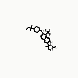 CCC(C)(C)C1CCC(Oc2ccc3cc(C4(C)COC(=O)N4)ccc3c2C(F)(F)F)CC1